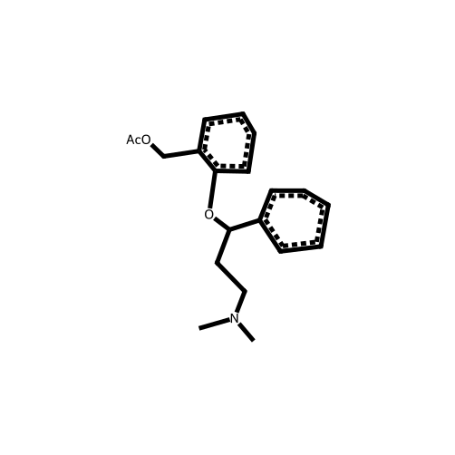 CC(=O)OCc1ccccc1OC(CCN(C)C)c1ccccc1